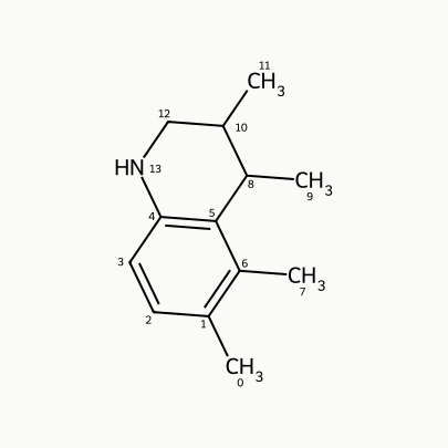 Cc1ccc2c(c1C)C(C)C(C)CN2